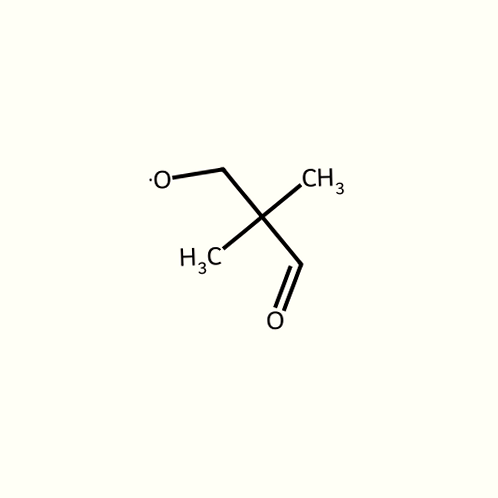 CC(C)(C=O)C[O]